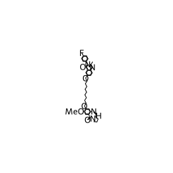 COc1cc2c(cc1OCCCCCCCCCOc1ccc3nc(C)n(-c4ccc(F)cc4)c(=O)c3c1)N=C[C@@H]1CCCN1C2=O